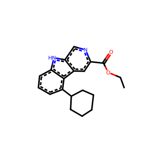 CCOC(=O)c1cc2c(cn1)[nH]c1cccc(C3CCCCC3)c12